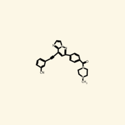 CN1CCN(C(=O)c2ccc(-c3cc(C#Cc4cccc(C#N)c4)c4nccn4n3)cc2)CC1